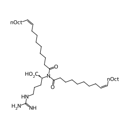 CCCCCCCC/C=C\CCCCCCCC(=O)N(C(=O)CCCCCCC/C=C\CCCCCCCC)[C@@H](CCCNC(=N)N)C(=O)O